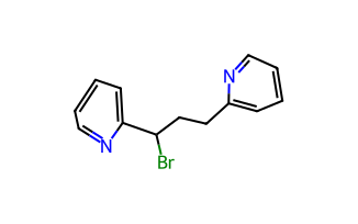 BrC(CCc1ccccn1)c1ccccn1